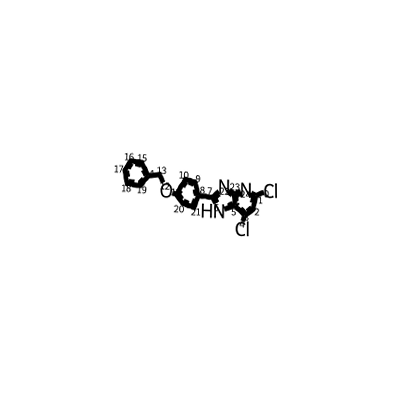 Clc1cc(Cl)c2[nH]c(-c3ccc(OCc4ccccc4)cc3)nc2n1